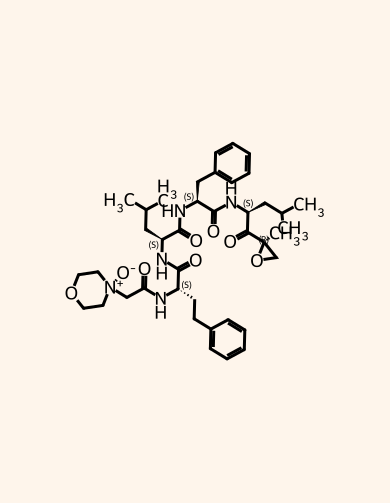 CC(C)C[C@H](NC(=O)[C@H](CCc1ccccc1)NC(=O)C[N+]1([O-])CCOCC1)C(=O)N[C@@H](Cc1ccccc1)C(=O)N[C@@H](CC(C)C)C(=O)[C@@]1(C)CO1